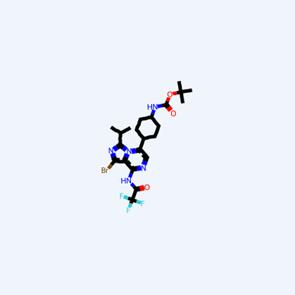 CC(C)c1nc(Br)c2c(NC(=O)C(F)(F)F)ncc(C3CCC(NC(=O)OC(C)(C)C)CC3)n12